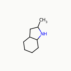 CC1CC2CCCCC2N1